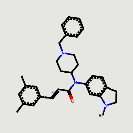 CC(=O)N1CCc2ccc(N(C(=O)/C=C/c3cc(C)cc(C)c3)C3CCN(Cc4ccccc4)CC3)cc21